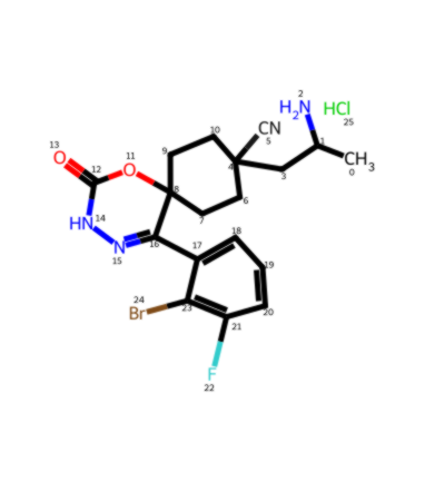 CC(N)CC1(C#N)CCC2(CC1)OC(=O)NN=C2c1cccc(F)c1Br.Cl